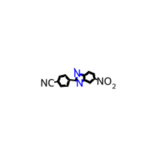 Cn1c(-c2ccc(C#N)cc2)nc2cc([N+](=O)[O-])ccc21